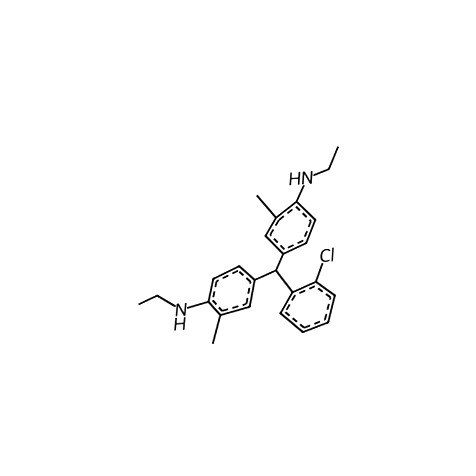 CCNc1ccc(C(c2ccc(NCC)c(C)c2)c2ccccc2Cl)cc1C